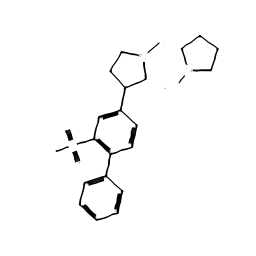 CS(=O)(=O)c1cc(C2CCN(C[C@@H]3CCCN3C=O)C2)ccc1-c1ccccc1